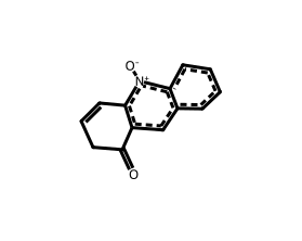 O=C1CC=Cc2c1cc1ccccc1[n+]2[O-]